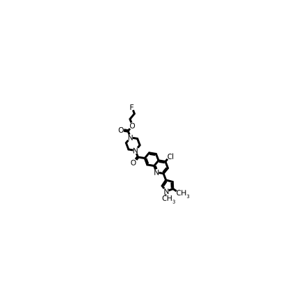 Cc1cc(-c2cc(Cl)c3ccc(C(=O)N4CCN(C(=O)OCCF)CC4)cc3n2)cn1C